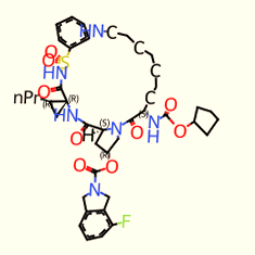 CCC[C@@H]1C[C@@]12NC(=O)[C@@H]1C[C@@H](OC(=O)N3Cc4cccc(F)c4C3)CN1C(=O)[C@@H](NC(=O)OC1CCCC1)CCCCCCCNc1ccccc1S(=O)(=O)NC2=O